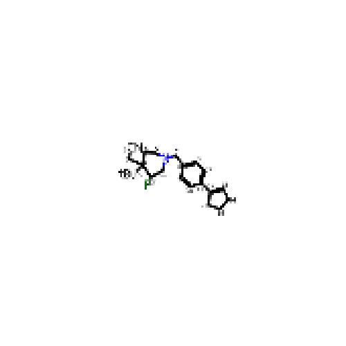 CC(C)(C)C1(CC#N)CCN(Cc2ccc(C3=CCCC3)cc2)CC1F